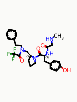 CNCC(=O)N[C@@H](Cc1ccc(O)cc1)C(=O)N1CCC[C@H]1CN(CCc1ccccc1)C(=O)C(F)(F)F